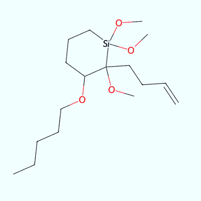 C=CCCC1(OC)C(OCCCCC)CCC[Si]1(OC)OC